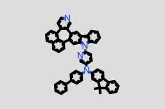 CC1(C)c2ccccc2-c2ccc(N(c3ccc(-c4ccccc4)cc3)c3ccc(-n4c5ccccc5c5cc6c(cc54)-c4cccc5cccc(c45)-c4ccncc4-6)nc3)cc21